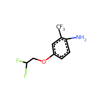 Nc1ccc(OCC(F)F)cc1C(F)(F)F